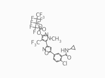 Cn1nc(OS(=O)(=O)C(F)(F)C(F)(F)C(F)(F)C(F)(F)F)c(C(F)(F)F)c1-c1cc(-c2ccc(Cl)c(C(=O)NC3CC3)c2)on1